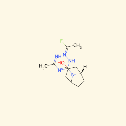 CC(=N)/N=C(\N/N=C(\C)F)N1C2CC[C@H]1CC(O)C2